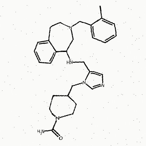 Cc1ccccc1CN1CCc2ccccc2C(NCc2cncn2CC2CCN(C(N)=O)CC2)C1